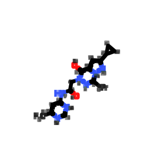 CC(C)c1nn(CC(=O)Nc2cc(C(F)(F)F)ncn2)c(=O)c2cc(C3CC3)nn12